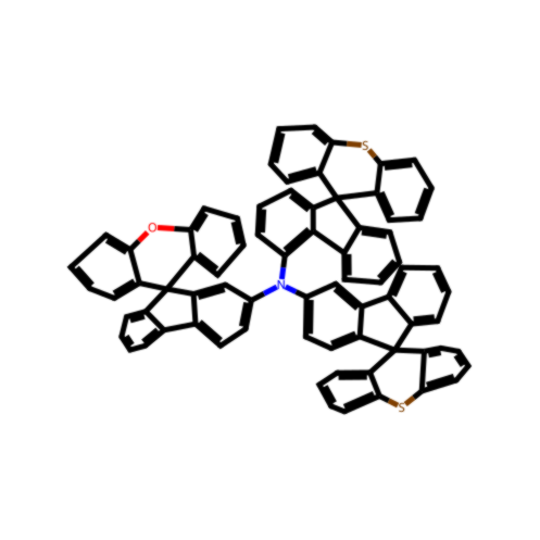 c1ccc2c(c1)Oc1ccccc1C21c2ccccc2-c2ccc(N(c3ccc4c(c3)-c3ccccc3C43c4ccccc4Sc4ccccc43)c3cccc4c3-c3ccccc3C43c4ccccc4Sc4ccccc43)cc21